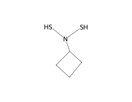 SN(S)C1CCC1